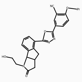 CC(C)Oc1ccc(-c2nnc(-c3cccc4c3CC3CC(=O)N(CCO)C43)o2)cc1C#N